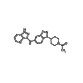 CC(=O)N1CCC(c2nsc3cc(Nc4n[nH]c5cccnc45)ccc23)CC1